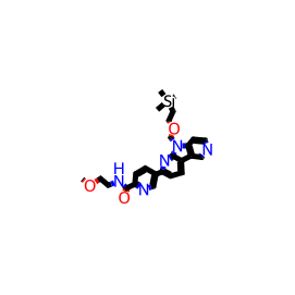 COCCNC(=O)c1ccc(-c2ccc3c4cnccc4n(COCC[Si](C)(C)C)c3n2)cn1